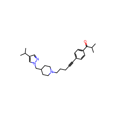 CC(C)C(=O)c1ccc(C#CCCCN2CCC(Cn3cc(C(C)C)cn3)CC2)cc1